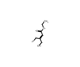 CCOC(=O)/C=C(\CF)CCl